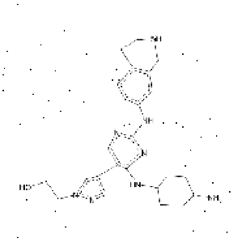 NC1CCC(Nc2nc(Nc3ccc4c(c3)CNCC4)ncc2-c2cnn(CCO)c2)CC1